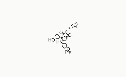 C[C@@]12Cc3c([nH]c4ccc(OC(F)F)cc34)[C@@H](c3cccc(O)c3)N1C(=O)N(CCCNCC1CC1)C2=O